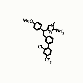 COc1ccc(C(Cc2cccc(-c3ccc(C(F)(F)F)cc3Cl)c2)c2cn(C)c(N)n2)cc1